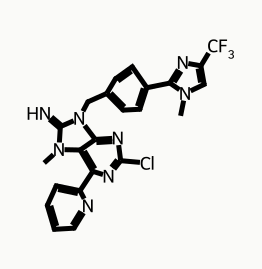 Cn1cc(C(F)(F)F)nc1-c1ccc(Cn2c(=N)n(C)c3c(-c4ccccn4)nc(Cl)nc32)cc1